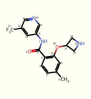 Cc1ccc(C(=O)Nc2cncc(C(F)(F)F)c2)c(OC2CNC2)c1